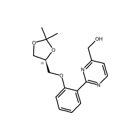 CC1(C)OC[C@H](COc2ccccc2-c2nccc(CO)n2)O1